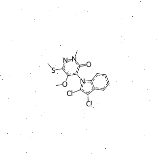 COc1c(SC)nn(C)c(=O)c1-n1c(Cl)c(Cl)c2ccccc21